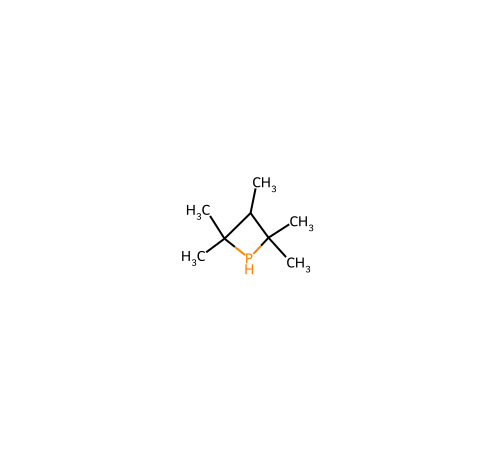 CC1C(C)(C)PC1(C)C